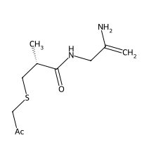 C=C(N)CNC(=O)[C@@H](C)CSCC(C)=O